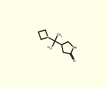 CC(C)(C1CNC(=O)C1)N1CCC1